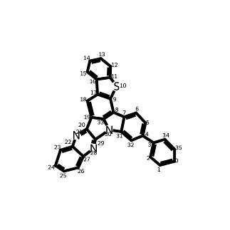 c1ccc(-c2ccc3c4c5sc6ccccc6c5cc5c6nc7ccccc7nc6n(c3c2)c54)cc1